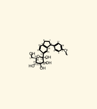 COc1ccc(C2CCc3ccc([C@]4(O)O[C@H](CO)[C@@H](O)[C@H](O)[C@H]4O)cc32)cc1